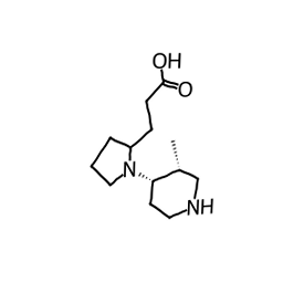 C[C@@H]1CNCC[C@@H]1N1CCCC1CCC(=O)O